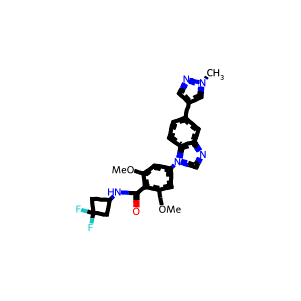 COc1cc(-n2cnc3cc(-c4cnn(C)c4)ccc32)cc(OC)c1C(=O)NC1CC(F)(F)C1